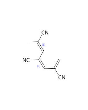 C=C(C#N)/C=C(C#N)\C=C(/C)C#N